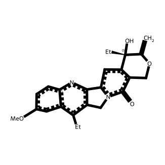 C=C1OCc2c(cc3n(c2=O)Cc2c-3nc3ccc(OC)cc3c2CC)[C@@]1(O)CC